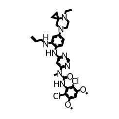 C=CCNc1cc(N2CCN(CC)C3(CC3)C2)ccc1Nc1cc(N(C)C(=O)Nc2c(Cl)c(OC)cc(OC)c2Cl)ncn1